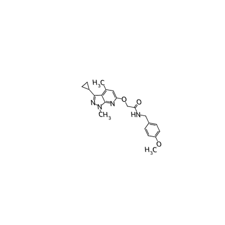 COc1ccc(CNC(=O)COc2cc(C)c3c(C4CC4)nn(C)c3n2)cc1